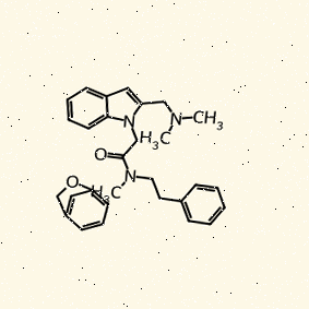 CN(C)Cc1cc2ccccc2n1CC(=O)N(C)CCc1ccccc1.c1cc2cc(c1)OC2